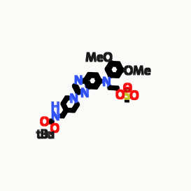 COc1cc(OC)cc(N(CCOS(C)(=O)=O)c2ccc3ncc(N4CCC(CNC(=O)OC(C)(C)C)CC4)nc3c2)c1